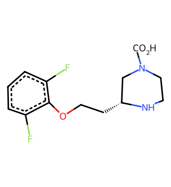 O=C(O)N1CCN[C@H](CCOc2c(F)cccc2F)C1